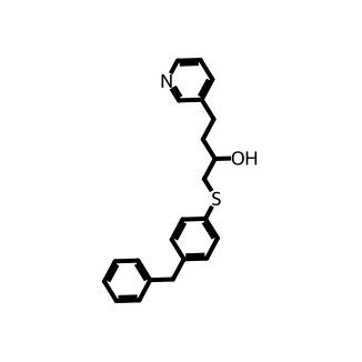 OC(CCc1cccnc1)CSc1ccc(Cc2ccccc2)cc1